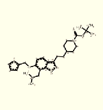 CN(C)Cc1c(OCc2cccs2)ccc2c(CCC3CCN(C(=O)OC(C)(C)C)CC3)noc12